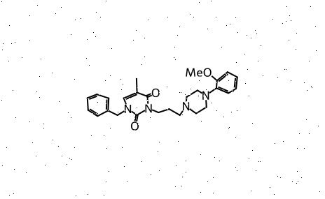 COc1ccccc1N1CCN(CCCn2c(=O)c(C)cn(Cc3ccccc3)c2=O)CC1